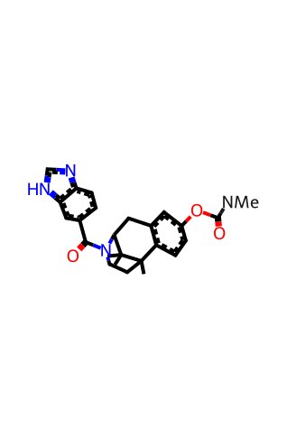 CNC(=O)Oc1ccc2c(c1)CC1N(C(=O)c3ccc4nc[nH]c4c3)CCC2(C)C1(C)C